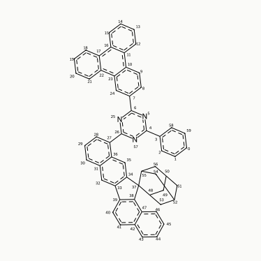 c1ccc(-c2nc(-c3ccc4c5ccccc5c5ccccc5c4c3)nc(-c3cccc4cc5c(cc34)C3(c4c-5ccc5ccccc45)C4CC5CC(C4)CC3C5)n2)cc1